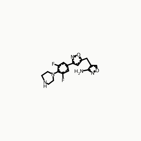 Nc1nocc1Cc1cc(-c2cc(F)c(N3CCNCC3)c(F)c2)no1